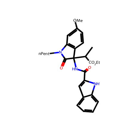 CCCCCN1C(=O)C(NC(=O)c2cc3ccccc3[nH]2)(C(C)C(=O)OCC)c2ccc(OC)cc21